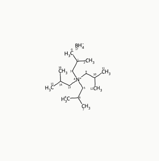 CC(C)C[N+](CC(C)C)(CC(C)C)CC(C)C.[BH4-]